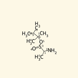 CC(N)S(=O)OC(C)(C)C(C)C